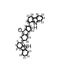 O=C1c2cc(-c3cccc4c3[nH]c3ccccc34)ccc2-c2ccc(-c3cccc4c3[nH]c3ccccc34)cc21